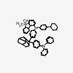 CS1(C)c2ccccc2-c2c(N(c3ccc(C4CCCCC4)cc3)c3ccc(C4(c5ccc(N(c6ccccc6)c6ccccc6)cc5)C5CC6CC(C5)CC4C6)cc3)cccc21